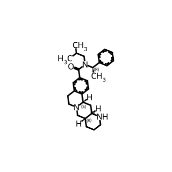 CC(C)CN(C(=O)c1ccc2c(c1)CCN1C[C@H]3CCCN[C@H]3C[C@@H]21)[C@H](C)c1ccccc1